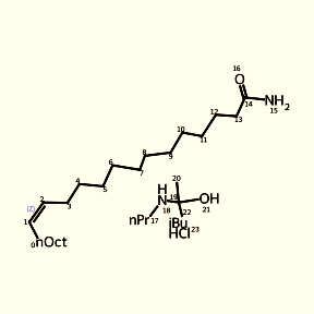 CCCCCCCC/C=C\CCCCCCCCCCCC(N)=O.CCCNC(C)(O)C(C)CC.Cl